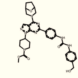 COC(=O)N1CCC(n2ncc3c(N4CC5CCC(C4)O5)nc(-c4ccc(NC(=O)Nc5ccc(CO)cc5)cc4)nc32)CC1